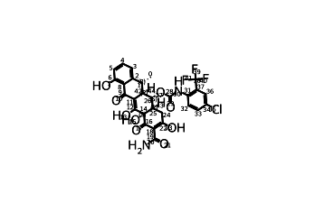 C[C@H]1c2cccc(O)c2C(=O)C2=C(O)[C@]3(O)C(=O)C(C(N)=O)=C(O)C[C@@H]3[C@@H](OC(=O)Nc3ccc(Cl)cc3C(F)(F)F)[C@@H]21